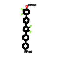 CCCCCOc1ccc(-c2ccc(-c3ccc(C4=CCC(C5CCC(CCCCC)CC5)CC4)c(F)c3F)cc2)c(F)c1F